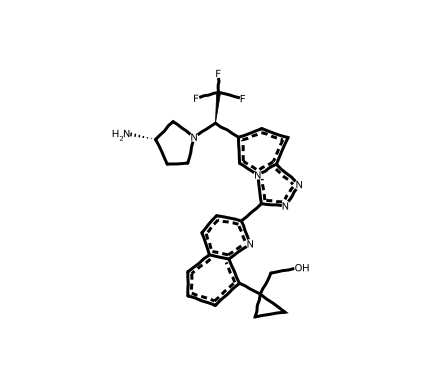 N[C@H]1CCN([C@H](c2ccc3nnc(-c4ccc5cccc(C6(CO)CC6)c5n4)n3c2)C(F)(F)F)C1